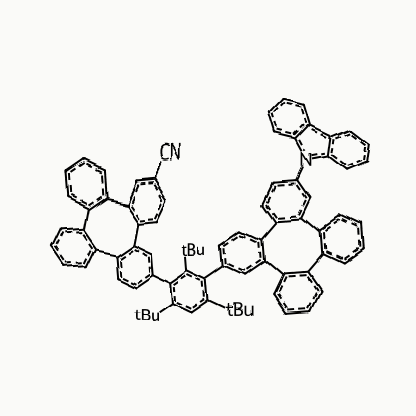 CC(C)(C)c1cc(C(C)(C)C)c(-c2ccc3c(c2)-c2ccc(C#N)cc2-c2ccccc2-c2ccccc2-3)c(C(C)(C)C)c1-c1ccc2c(c1)-c1ccccc1-c1ccccc1-c1cc(-n3c4ccccc4c4ccccc43)ccc1-2